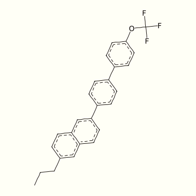 CCCc1ccc2cc(-c3ccc(-c4ccc(OC(F)(F)F)cc4)cc3)ccc2c1